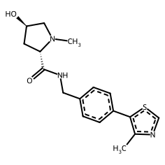 Cc1ncsc1-c1ccc(CNC(=O)[C@@H]2C[C@@H](O)CN2C)cc1